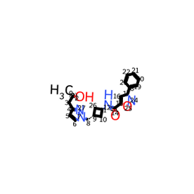 C[C@@H](O)Cc1ccn(C[C@H]2C[C@@H](NC(=O)c3cc(-c4ccccc4)no3)C2)n1